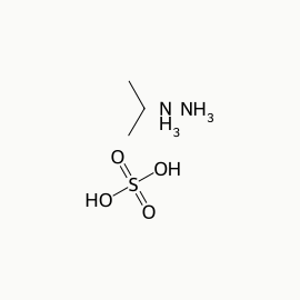 CCC.N.N.O=S(=O)(O)O